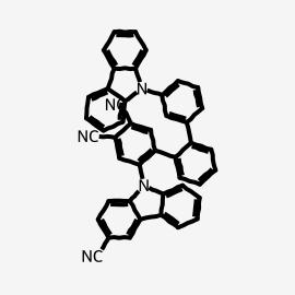 N#Cc1ccc2c(c1)c1ccccc1n2-c1cc(C#N)c(C#N)cc1-c1ccccc1-c1cccc(-n2c3ccccc3c3ccccc32)c1